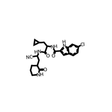 N#CC(CC1CCCNC1=O)NC(=O)C(CC1CC1)NC(=O)c1cc2ccc(Cl)cc2[nH]1